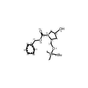 CC(C)(C)[Si](C)(C)OC[C@@H]1CC(O)CN1C(=O)OCc1ccccc1